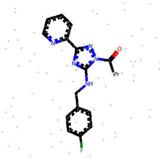 CC(C)C(=O)n1nc(-c2ccccn2)nc1NCc1ccc(F)cc1